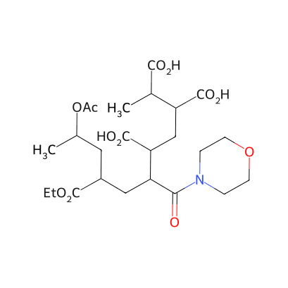 CCOC(=O)C(CC(C)OC(C)=O)CC(C(=O)N1CCOCC1)C(CC(C(=O)O)C(C)C(=O)O)C(=O)O